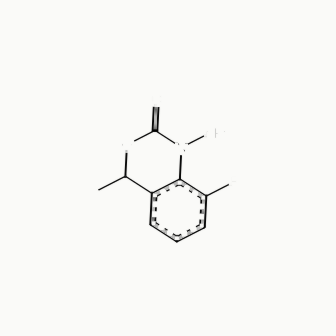 CCCN1C(=O)OC(C)c2cccc(F)c21